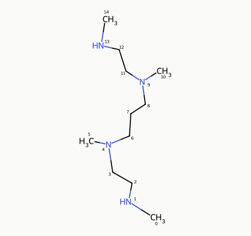 CNCCN(C)CCCN(C)CCNC